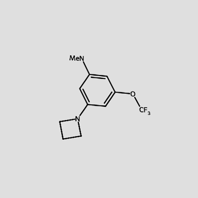 CNc1cc(OC(F)(F)F)cc(N2CCC2)c1